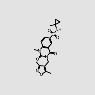 Cc1noc(C)c1Cn1c(=O)c2cc(S(=O)(=O)NC3(C)CC3)ccc2n(C)c1=O